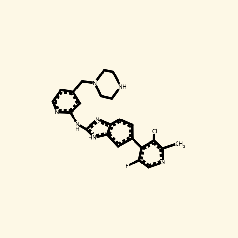 Cc1ncc(F)c(-c2ccc3nc(Nc4cc(CN5CCNCC5)ccn4)[nH]c3c2)c1Cl